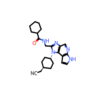 N#CC[C@H]1CC[C@H](n2c(CNC(=O)C3CCCCC3)nc3cnc4[nH]ccc4c32)CC1